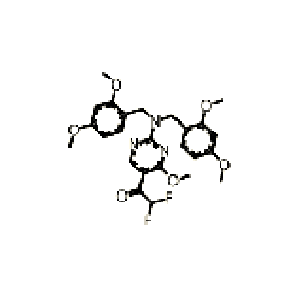 COc1ccc(CN(Cc2ccc(OC)cc2OC)c2ncc(C(=O)C(F)F)c(OC)n2)c(OC)c1